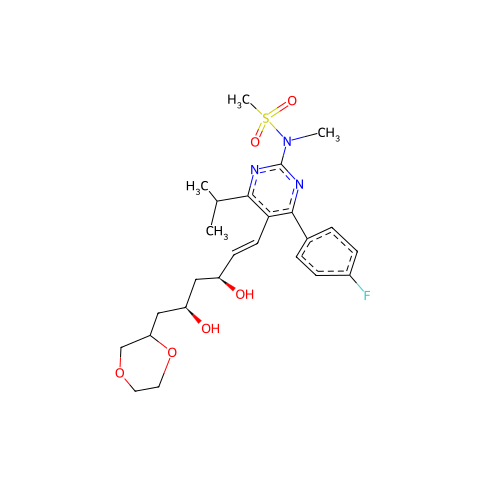 CC(C)c1nc(N(C)S(C)(=O)=O)nc(-c2ccc(F)cc2)c1/C=C/[C@@H](O)C[C@@H](O)CC1COCCO1